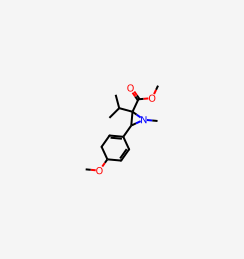 COC(=O)C1(C(C)C)C(C2=CCC(OC)C=C2)N1C